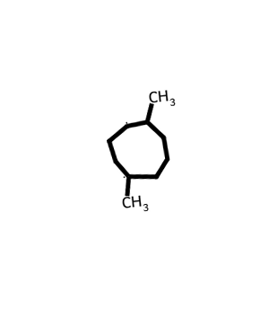 C[C]1CC[CH]C(C)CCC1